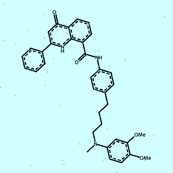 COc1ccc(N(C)CCCCc2ccc(NC(=O)c3cccc4c(=O)cc(-c5ccccc5)[nH]c34)cc2)cc1OC